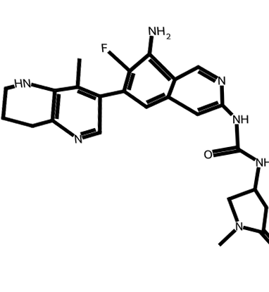 Cc1c(-c2cc3cc(NC(=O)NC4CC(=O)N(C)C4)ncc3c(N)c2F)cnc2c1NCCC2